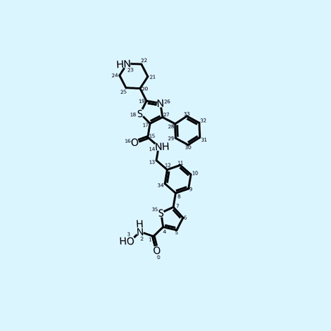 O=C(NO)c1ccc(-c2cccc(CNC(=O)c3sc(C4CCNCC4)nc3-c3ccccc3)c2)s1